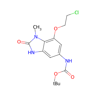 Cn1c(=O)[nH]c2cc(NC(=O)OC(C)(C)C)cc(OCCCl)c21